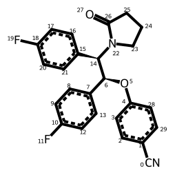 N#Cc1ccc(O[C@@H](c2ccc(F)cc2)[C@@H](c2ccc(F)cc2)N2CCCC2=O)cc1